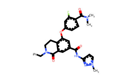 CC(C)CN1CCc2c(Oc3ccc(C(=O)N(C)C)c(F)c3)cc(C(=O)Nc3ccn(C)n3)cc2C1=O